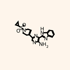 Nc1ncc(C2=CCN(S(=O)(=O)C3CC3)CC2)nc1-c1nc2ccccc2[nH]1